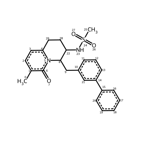 Cc1ccc2n(c1=O)C(Cc1cccc(-c3ccccc3)c1)C(NS(C)(=O)=O)CC2